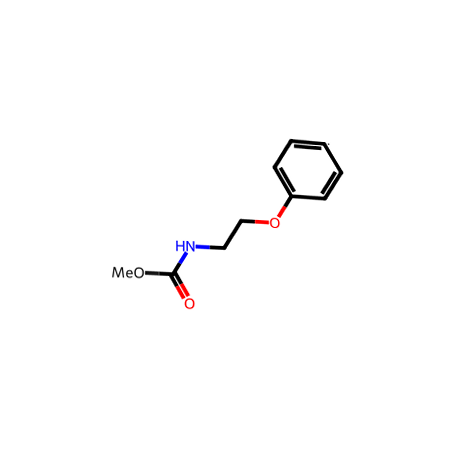 COC(=O)NCCOc1cc[c]cc1